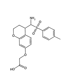 Cc1ccc(S(=O)(=O)C(N)C2CCOc3cc(OCC(=O)O)ccc32)cc1